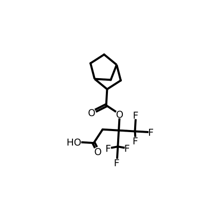 O=C(O)CC(OC(=O)C1CC2CCC1C2)(C(F)(F)F)C(F)(F)F